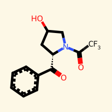 O=C(c1ccccc1)[C@@H]1CC(O)CN1C(=O)C(F)(F)F